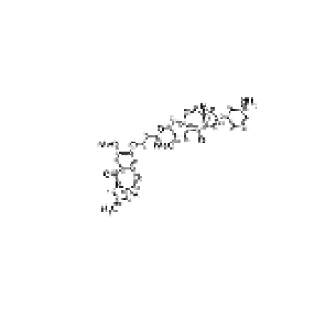 COc1cc2c(cc1OCCCOc1cc3c(cc1OC)C(=O)N1C=C(c4cccc(N)c4)C[C@H]1C=N3)N=C[C@@H]1CC(C)=CN1C2=O